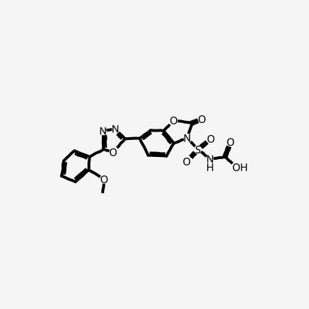 COc1ccccc1-c1nnc(-c2ccc3c(c2)oc(=O)n3S(=O)(=O)NC(=O)O)o1